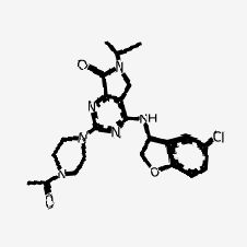 CC(=O)N1CCN(c2nc(NC3COc4ccc(Cl)cc43)c3c(n2)C(=O)N(C(C)C)C3)CC1